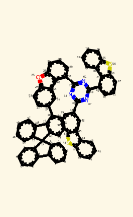 c1ccc2c(c1)-c1ccccc1C21c2ccccc2-c2c(-c3ccc4oc5cccc(-c6nc(-c7ccc8sc9ccccc9c8c7)nc(-c7cccc8sc9ccccc9c78)n6)c5c4c3)cccc21